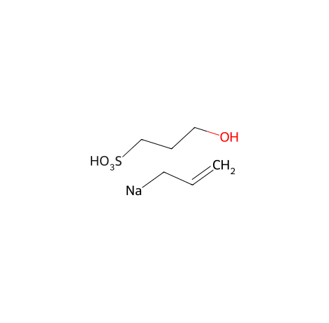 C=C[CH2][Na].O=S(=O)(O)CCCO